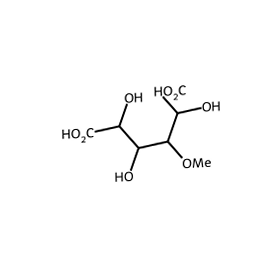 COC(C(O)C(=O)O)C(O)C(O)C(=O)O